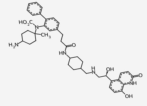 CC1(N(C(=O)O)c2cc(CCC(=O)NC3CCC(CNC[C@@H](O)c4ccc(O)c5[nH]c(=O)ccc45)CC3)ccc2-c2ccccc2)CCC(N)CC1